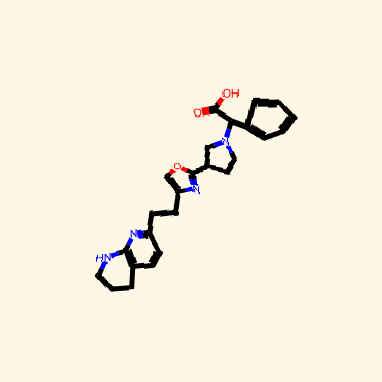 O=C(O)C(c1ccccc1)N1CCC(c2nc(CCc3ccc4c(n3)NCCC4)co2)C1